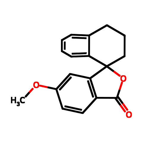 COc1ccc2c(c1)C1(CCCc3ccccc31)OC2=O